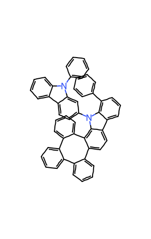 c1ccc(-c2cccc3c4ccc5c(c4n(-c4ccc6c7ccccc7n(-c7ccccc7)c6c4)c23)-c2ccccc2-c2ccccc2-c2ccccc2-5)cc1